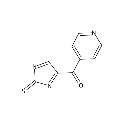 O=C(C1=NC(=S)N=C1)c1ccncc1